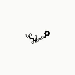 COC(=O)CCC(=O)C(C)(C#N)OCCOCc1ccccc1